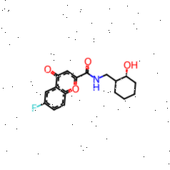 O=C(NCC1CCCC[C@@H]1O)c1cc(=O)c2cc(F)ccc2o1